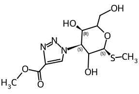 COC(=O)c1cn([C@@H]2C(O)[C@H](SC)OC(CO)[C@@H]2O)nn1